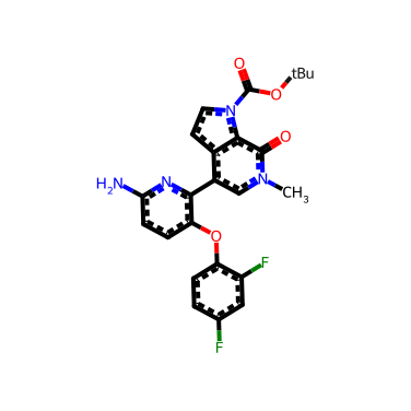 Cn1cc(-c2nc(N)ccc2Oc2ccc(F)cc2F)c2ccn(C(=O)OC(C)(C)C)c2c1=O